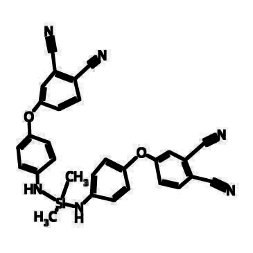 C[Si](C)(Nc1ccc(Oc2ccc(C#N)c(C#N)c2)cc1)Nc1ccc(Oc2ccc(C#N)c(C#N)c2)cc1